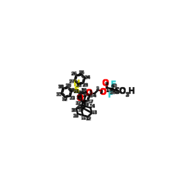 O=C(OCCOC1OC1C12CC3CC(C1)C(c1cccc([SH](c4ccccc4)c4ccccc4)c1)C(C3)C2)C(F)(F)S(=O)(=O)O